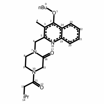 CCCCOc1c(C)c(CN2CCN(C(=O)CC(C)C)CC2=O)nc2ccccc12